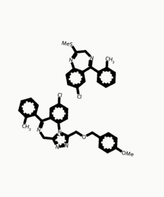 COc1ccc(COCc2nnc3n2-c2ccc(Cl)cc2C(c2ccccc2C)=NC3)cc1.CSC1=Nc2ccc(Cl)cc2C(c2ccccc2C)=NC1